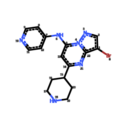 Brc1cnn2c(Nc3ccncc3)cc(C3CCNCC3)nc12